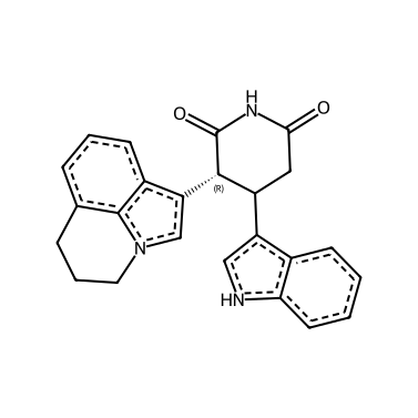 O=C1CC(c2c[nH]c3ccccc23)[C@H](c2cn3c4c(cccc24)CCC3)C(=O)N1